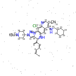 C=C(/C=C\C=C/C)[C@H](Nc1cc(Cl)c2ncc(C#N)c(N[C@H](C)C3CCCCC3)c2c1)c1cn(C2CCN(C(C)(C)C)CC2)nn1